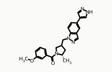 COc1cccc(C(=O)N2CC(Cn3ncc4cc(-c5cn[nH]c5)ccc43)C[C@@H]2C)c1